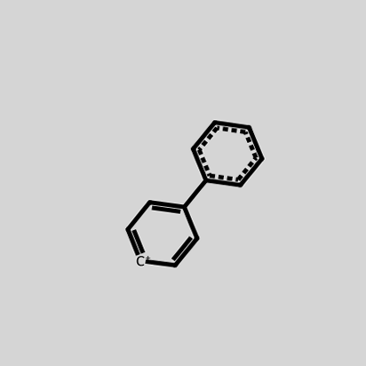 [C+]1=CC=C(c2ccccc2)C=C1